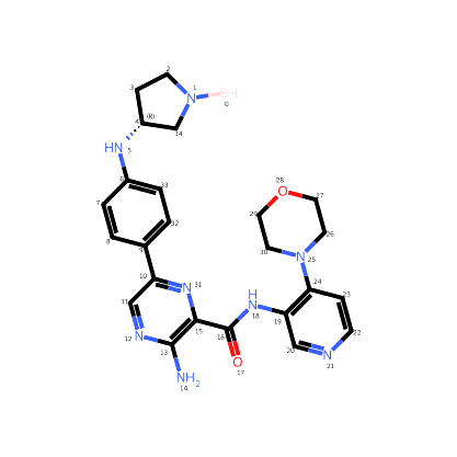 BN1CC[C@@H](Nc2ccc(-c3cnc(N)c(C(=O)Nc4cnccc4N4CCOCC4)n3)cc2)C1